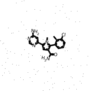 Cc1c(Cl)cccc1-c1c(C(N)=O)cc(-c2cc(N)ncn2)n1C